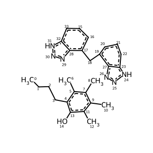 CCCCc1c(C)c(C)c(C)c(C)c1O.c1cc(Cc2cccc3[nH]nnc23)c2nn[nH]c2c1